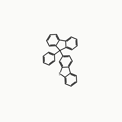 c1ccc(C2(c3ccc4c(c3)sc3ccccc34)c3ccccc3-c3ccccc32)cc1